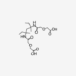 CCC(C)(CC(C)(CC)NC(=O)COCC(=O)O)NC(=O)COCC(=O)O